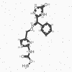 BOC(=O)Nc1nc(CO/N=C(\c2ccccc2)c2noc(=O)[nH]2)cs1